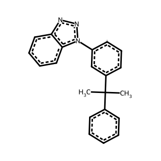 CC(C)(c1ccccc1)c1cc[c]c(-n2nnc3ccccc32)c1